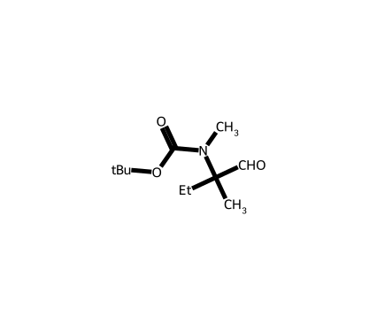 CCC(C)(C=O)N(C)C(=O)OC(C)(C)C